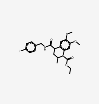 CCOC(=O)N1c2cc(OC)c(OC)cc2C(C(=O)NCc2ccc(F)cc2)CC1C